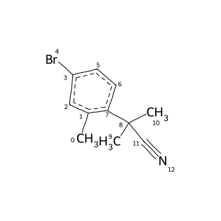 Cc1cc(Br)ccc1C(C)(C)C#N